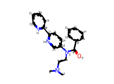 CN(C)CCN(C(=O)c1ccccc1)c1ccc(-c2ccccn2)nc1